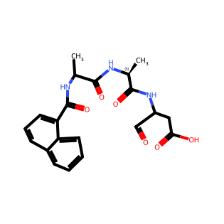 CC(NC(=O)c1cccc2ccccc12)C(=O)N[C@@H](C)C(=O)NC(C=O)CC(=O)O